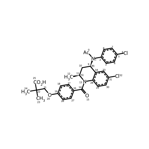 CC(=O)N(c1ccc(Cl)cc1)[C@@H]1C[C@H](C)N(C(=O)c2ccc(OCC(C)(C)C(=O)O)cc2)c2ccc(Cl)cc21